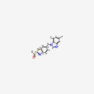 Cc1cc(C)c2c(c1)ncn2Cc1ccc2nc([S+](C)[O-])sc2c1